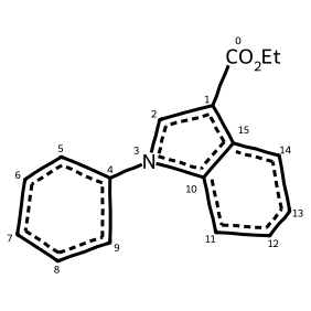 CCOC(=O)c1cn(-c2ccccc2)c2ccccc12